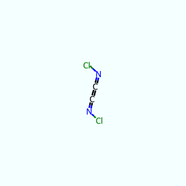 ClN=C=C=NCl